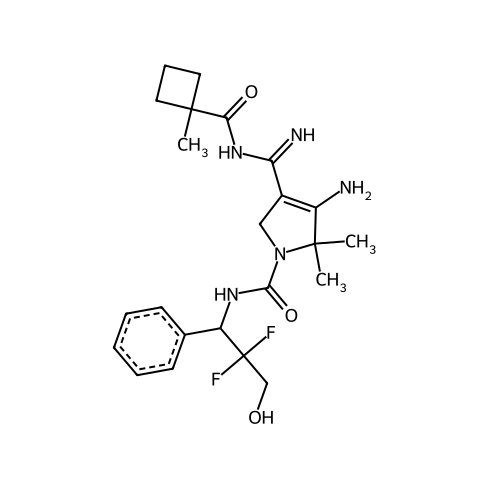 CC1(C(=O)NC(=N)C2=C(N)C(C)(C)N(C(=O)NC(c3ccccc3)C(F)(F)CO)C2)CCC1